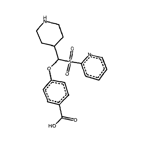 O=C(O)c1ccc(OC(C2CCNCC2)S(=O)(=O)c2ccccn2)cc1